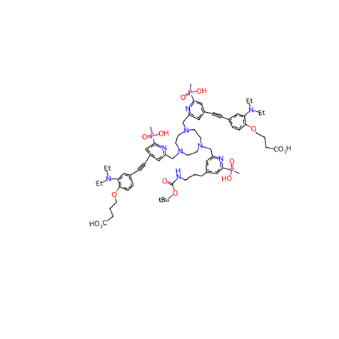 CCN(CC)c1cc(C#Cc2cc(CN3CCN(Cc4cc(C#Cc5ccc(OCCCC(=O)O)c(N(CC)CC)c5)cc(P(C)(=O)O)n4)CCN(Cc4cc(CCCNC(=O)OC(C)(C)C)cc(P(C)(=O)O)n4)CC3)nc(P(C)(=O)O)c2)ccc1OCCCC(=O)O